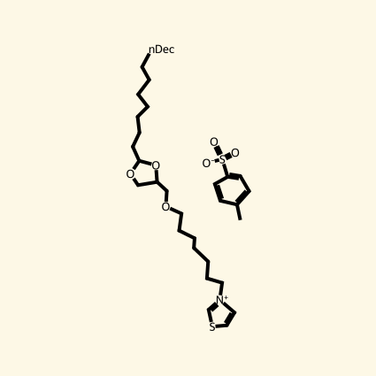 CCCCCCCCCCCCCCCCCC1OCC(COCCCCCCC[n+]2ccsc2)O1.Cc1ccc(S(=O)(=O)[O-])cc1